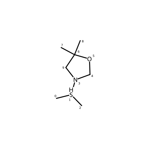 C[SH](C)N1COC(C)(C)C1